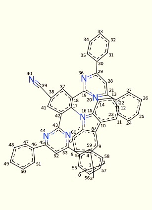 CC(C)(C)c1ccc2c(c1)c1ccccc1n2-c1c(-c2nc(-c3ccccc3)cc(-c3ccccc3)n2)cc(C#N)cc1-c1nc(-c2ccccc2)cc(-c2ccccc2)n1